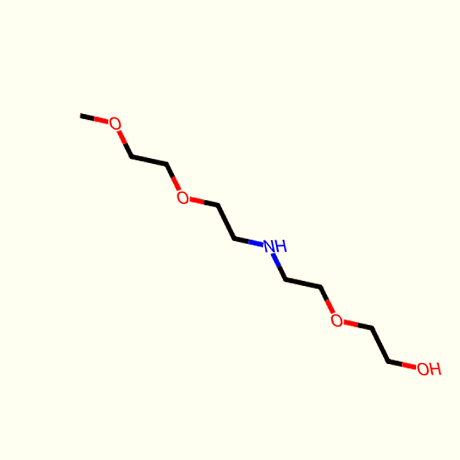 COCCOCCNCCOCCO